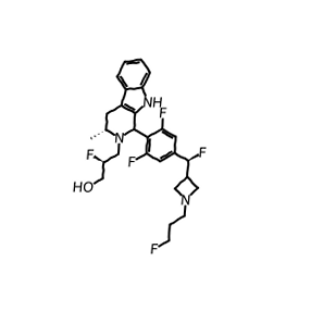 C[C@@H]1Cc2c([nH]c3ccccc23)C(c2c(F)cc([C@@H](F)C3CN(CCCF)C3)cc2F)N1C[C@H](F)CO